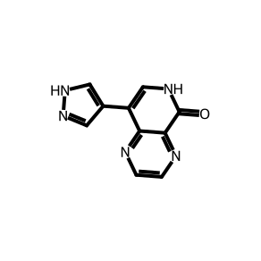 O=c1[nH]cc(-c2cn[nH]c2)c2nccnc12